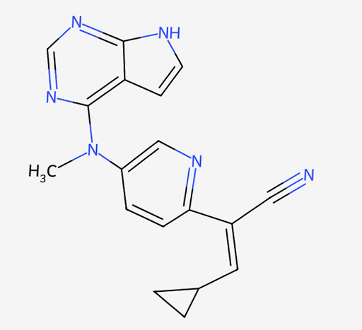 CN(c1ccc(/C(C#N)=C\C2CC2)nc1)c1ncnc2[nH]ccc12